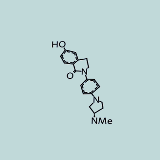 CN[C@@H]1CCN(c2ccc(N3CCc4cc(O)ccc4C3=O)cc2)C1